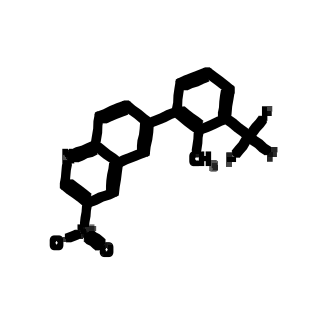 Cc1c(-c2ccc3ncc([N+](=O)[O-])cc3c2)cccc1C(F)(F)F